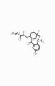 COC(=O)NCC1CCC(F)(F)CN1C(=O)c1nc(Br)ccc1C